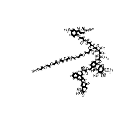 CC[C@@]1(O)C(=O)OCc2c1cc1n(c2=O)Cc2c-1nc1ccccc1c2CCN(C(=O)OCc1ccc(NC(=O)[C@H](C)NC(=O)[C@@H](NC(=O)[C@H](CCCCNC(=O)CCn2c(CN(C)NC)cc3cc(C)ccc32)NC(=O)CCOCCOCCOCCOCCOCCOCCOCCOC)C(C)C)c(O[C@@H]2O[C@H](C(=O)O)[C@@H](O)[C@H](O)[C@H]2O)c1)C(C)C